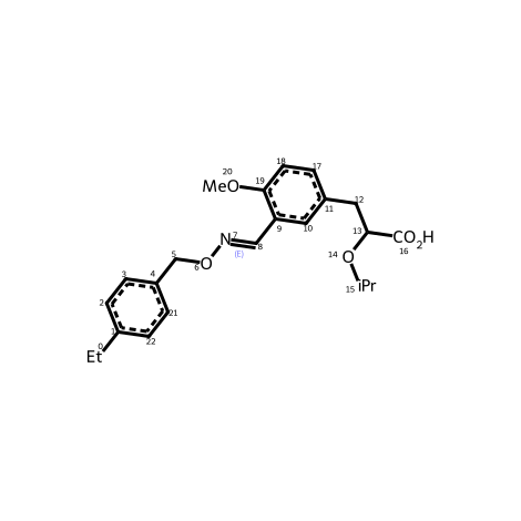 CCc1ccc(CO/N=C/c2cc(CC(OC(C)C)C(=O)O)ccc2OC)cc1